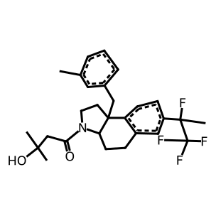 Cc1cccc(CC23CCN(C(=O)CC(C)(C)O)C2CCc2cc(C(C)(F)C(F)(F)F)ccc23)c1